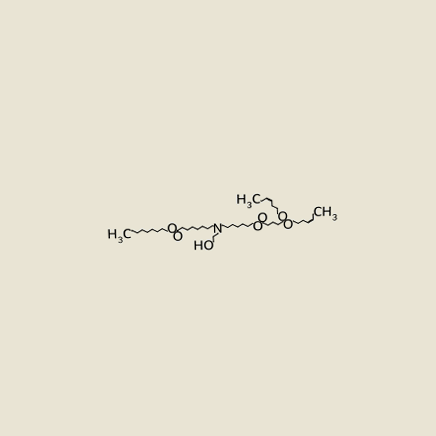 CC/C=C\CCCOC(CCCC(=O)OCCCCCCCN(CCCO)CCCCCCCC(=O)OCCCCCCCCC)OCCC/C=C\CC